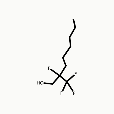 CCCCCCC(F)(CO)C(F)(F)F